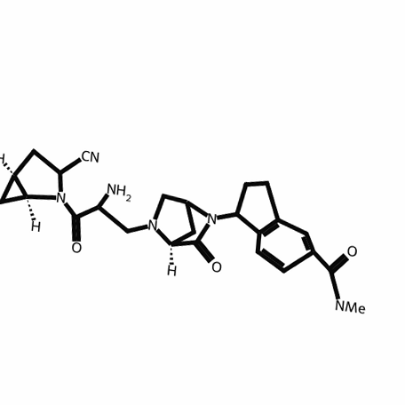 CNC(=O)c1ccc2c(c1)CCC2N1C(=O)[C@@H]2CC1CN2CC(N)C(=O)N1C(C#N)C[C@@H]2C[C@@H]21